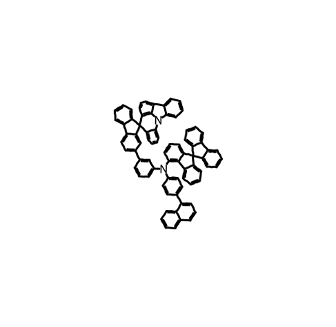 c1cc(-c2ccc3c(c2)C2(c4ccccc4-3)c3ccccc3-n3c4ccccc4c4cccc2c43)cc(N(c2ccc(-c3cccc4ccccc34)cc2)c2cccc3c2-c2ccccc2C32c3ccccc3-c3ccccc32)c1